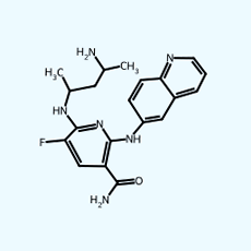 CC(N)CC(C)Nc1nc(Nc2ccc3ncccc3c2)c(C(N)=O)cc1F